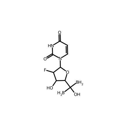 BC(B)(O)C1OC(n2ccc(=O)[nH]c2=O)C(F)C1O